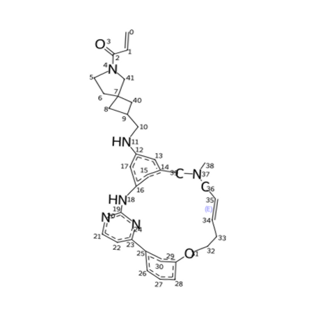 C=CC(=O)N1CCC2(CC(CNc3cc4cc(c3)Nc3nccc(n3)-c3cccc(c3)OCC/C=C/CN(C)C4)C2)C1